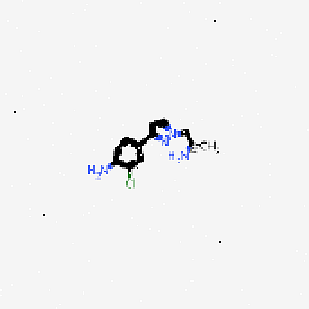 C[C@H](N)Cn1ccc(-c2ccc(N)c(Cl)c2)n1